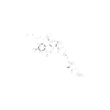 COCCN(C)N/C(=N\C(=N)N1CCN(CCNC(=O)C2CCNCC2)CC1)c1cnc(N)nc1C(F)F